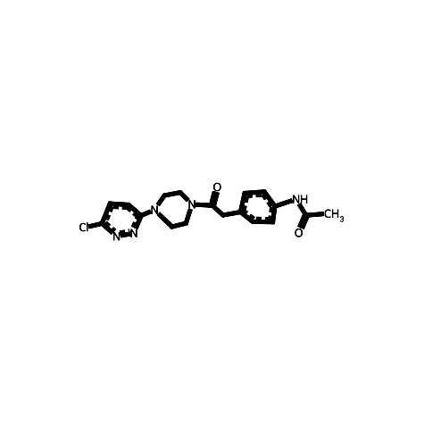 CC(=O)Nc1ccc(CC(=O)N2CCN(c3ccc(Cl)nn3)CC2)cc1